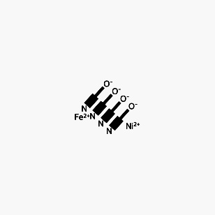 N#C[O-].N#C[O-].N#C[O-].N#C[O-].[Fe+2].[Ni+2]